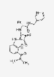 CC(C)[C@@H](Nc1c(Nc2cccc(C(=O)N(C)C)c2O)c(=O)c1=O)C(=O)NCc1cccnc1